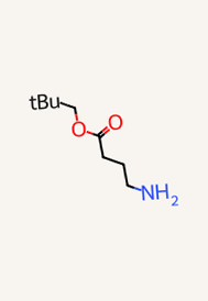 CC(C)(C)COC(=O)CCCN